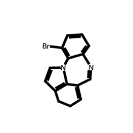 Brc1cccc2c1-n1ccc3c1C(=CCC3)C=N2